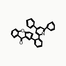 O=c1c2ccccc2oc2ccc(-c3ccccc3-c3cc(-c4ccccc4)cc(-c4ccccc4)n3)cc12